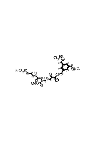 COC(=O)[C@H](CSCC(=O)C(=O)OCc1cc(CO[N+](=O)[O-])cc(CO[N+](=O)[O-])c1)NC(=O)NCCCC(=O)O